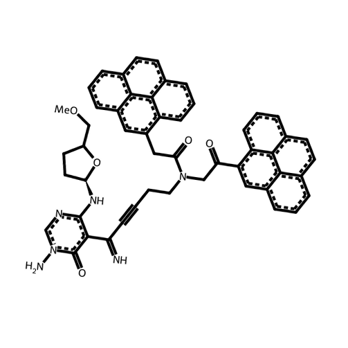 COCC1CC[C@H](Nc2ncn(N)c(=O)c2C(=N)C#CCCN(CC(=O)c2cc3cccc4ccc5cccc2c5c43)C(=O)Cc2cc3cccc4ccc5cccc2c5c43)O1